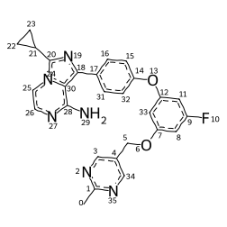 Cc1ncc(COc2cc(F)cc(Oc3ccc(-c4nc(C5CC5)n5ccnc(N)c45)cc3)c2)cn1